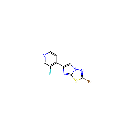 Fc1cnccc1-c1cn2nc(Br)sc2n1